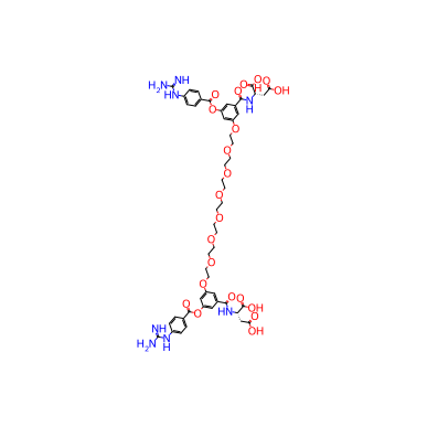 N=C(N)Nc1ccc(C(=O)Oc2cc(OCCOCCOCCOCCOCCOCCOCCOc3cc(OC(=O)c4ccc(NC(=N)N)cc4)cc(C(=O)N[C@@H](CC(=O)O)C(=O)O)c3)cc(C(=O)N[C@@H](CC(=O)O)C(=O)O)c2)cc1